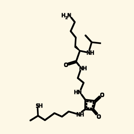 CC(S)CCCCNc1c(NCCNC(=O)[C@@H](CCCCN)NC(C)C)c(=O)c1=O